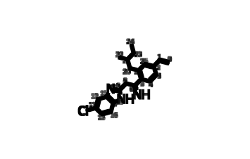 C=Cc1ccc(C(=N)Cc2nc3cc(Cl)ccc3[nH]2)c(CC(C)CC)c1